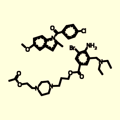 CCN(CC)Cc1cc(C(=O)OCCCN2CCN(CCOC(C)=O)CC2)cc(Br)c1N.COc1ccc2c(c1)cc(C)n2C(=O)c1ccc(Cl)cc1